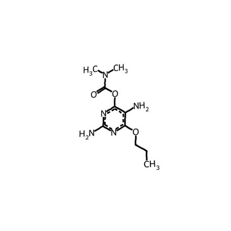 CCCOc1nc(N)nc(OC(=O)N(C)C)c1N